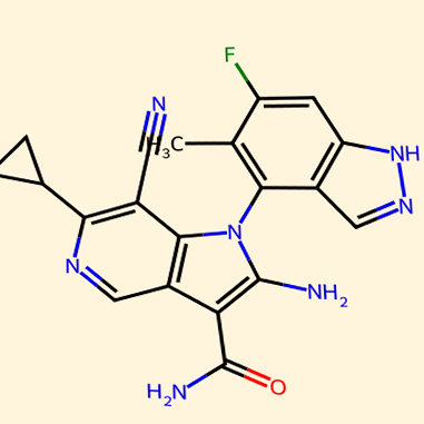 Cc1c(F)cc2[nH]ncc2c1-n1c(N)c(C(N)=O)c2cnc(C3CC3)c(C#N)c21